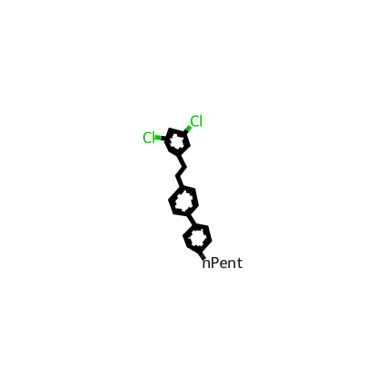 CCCCCc1ccc(-c2ccc(CCc3cc(Cl)cc(Cl)c3)cc2)cc1